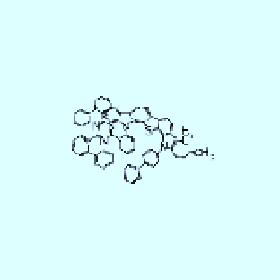 C=C/C=C\c1c(C)c2ccc3c4ccc5c6ccccc6n(-c6ccccc6-c6nc(-c7ccccc7-c7ccccc7)nc(-c7ccccc7-c7ccccc7)n6)c5c4sc3c2n1-c1ccc(-c2ccccc2)cc1